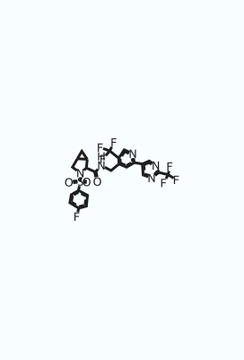 O=C(NCc1cc(-c2cnc(C(F)(F)F)nc2)ncc1C(F)(F)F)C1C2CC2CN1S(=O)(=O)c1ccc(F)cc1